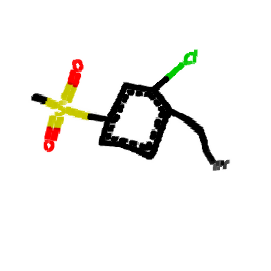 CC(C)Cc1ccc(S(C)(=O)=O)cc1Cl